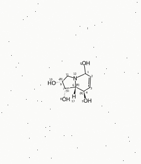 OC1C=C[C@@H](O)[C@@H]2[C@H](O)[C@H](O)CN12